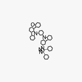 c1ccc(-c2nnn(-c3ccc4c(c3)c3ccccc3n4-c3cccc(-n4c5ccccc5c5ccc6oc7ccccc7c6c54)c3)c2-c2ccccc2)cc1